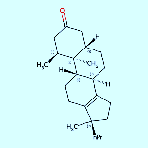 CCC[C@]1(C)CCC2=C1CC[C@H]1[C@H]2CC[C@H]2CC(=O)C[C@H](C)[C@@]21C